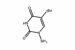 CC(C)(C)c1cn(N)c(=O)[nH]c1=O